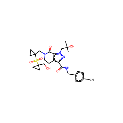 CC(C)(O)Cn1nc(C(=O)NCc2ccc(C#N)cc2)c2c1C(=O)N(CC1(S(=O)(=O)C3(CO)CC3)CC1)CC2